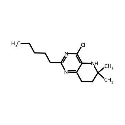 CCCCCc1nc(Cl)c2c(n1)CCC(C)(C)N2